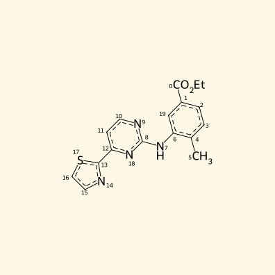 CCOC(=O)c1ccc(C)c(Nc2nccc(-c3nccs3)n2)c1